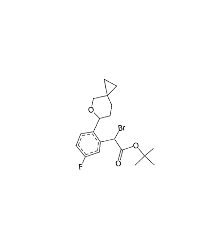 CC(C)(C)OC(=O)C(Br)c1cc(F)ccc1C1CCC2(CC2)CO1